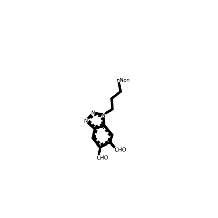 CCCCCCCCCCCCn1nnc2cc(C=O)c(C=O)cc21